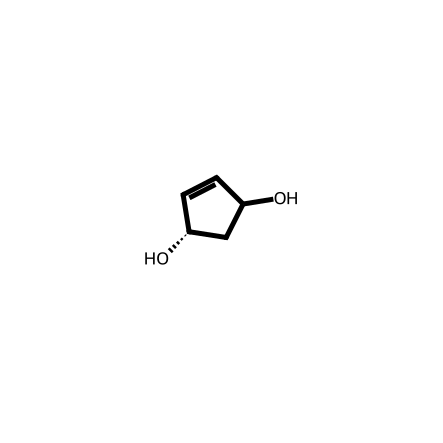 OC1C=C[C@@H](O)C1